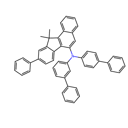 CC1(C)c2cc(-c3ccccc3)ccc2-c2c(N(c3ccc(-c4ccccc4)cc3)c3cccc(-c4ccccc4)c3)cc3ccccc3c21